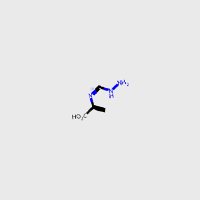 C=C(/N=C\NN)C(=O)O